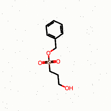 O=S(=O)(CCCO)OCc1ccccc1